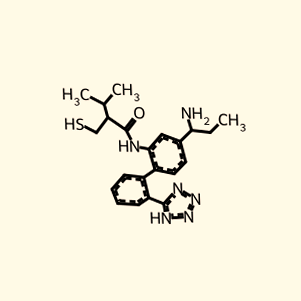 CCC(N)c1ccc(-c2ccccc2-c2nnn[nH]2)c(NC(=O)C(CS)C(C)C)c1